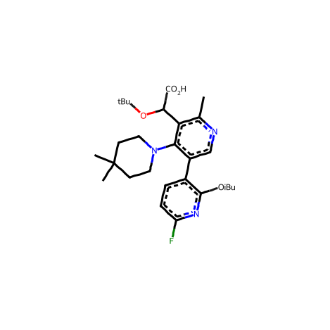 Cc1ncc(-c2ccc(F)nc2OCC(C)C)c(N2CCC(C)(C)CC2)c1C(OC(C)(C)C)C(=O)O